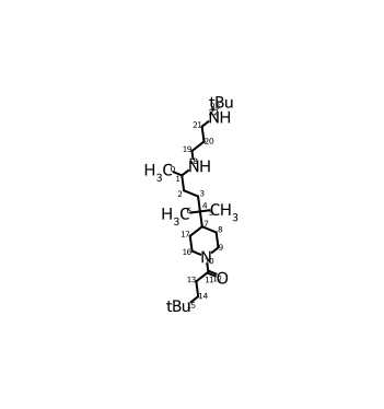 CC(CCC(C)(C)C1CCN(C(=O)CCC(C)(C)C)CC1)NCCCNC(C)(C)C